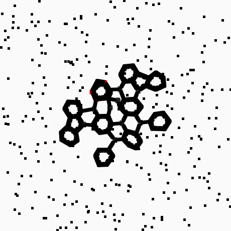 c1ccc(N2c3cccc4c3B(c3c2cc2c5c3Oc3ccccc3B5c3cccc5c6ccccc6n-2c35)c2c(cc3c5c2Oc2ccccc2B5c2cccc5c6ccccc6n-3c25)N4c2ccccc2)cc1